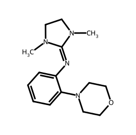 CN1CCN(C)C1=Nc1ccccc1N1CCOCC1